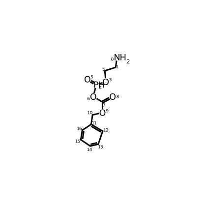 NCCO[PH](=O)OC(=O)OCc1ccccc1